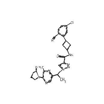 Cc1nc(C(C)n2cc(C(=O)NC3CC(c4cc(Cl)ccc4C#N)C3)nn2)cnc1N1CCCC1=O